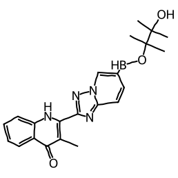 Cc1c(-c2nc3ccc(BOC(C)(C)C(C)(C)O)cn3n2)[nH]c2ccccc2c1=O